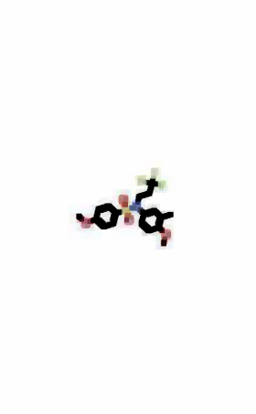 COc1ccc(S(=O)(=O)N(CCC(F)(F)F)c2ccc(OC)c(C)c2)cc1